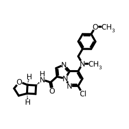 COc1ccc(CN(C)c2cc(Cl)nn3c(C(=O)N[C@@H]4C[C@H]5CCO[C@H]54)cnc23)cc1